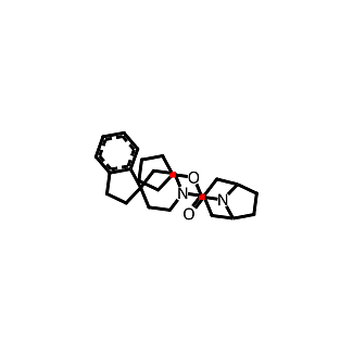 O=C(OC1CCCC1)N1C2CCC1CC(N1CCC3(CCc4ccccc43)CC1)C2